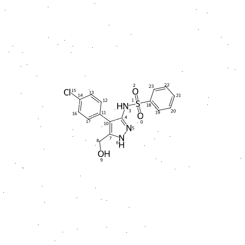 O=S(=O)(Nc1n[nH]c(CO)c1-c1ccc(Cl)cc1)c1ccccc1